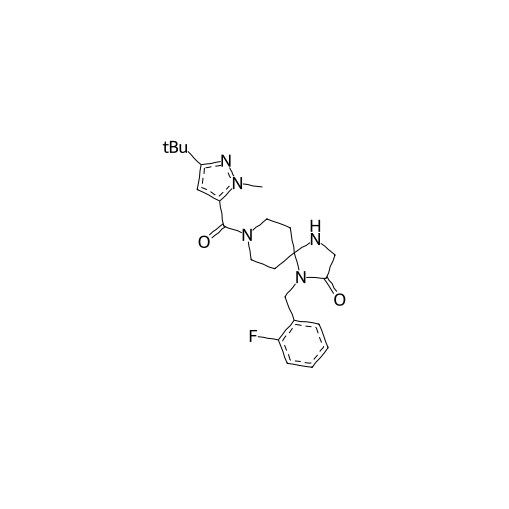 Cn1nc(C(C)(C)C)cc1C(=O)N1CCC2(CC1)NCC(=O)N2Cc1ccccc1F